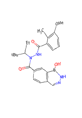 CCC(N(NC(=O)c1cccc(OC)c1C)C(=O)c1ccc2c(c1)B(O)NN=C2)C(C)(C)C